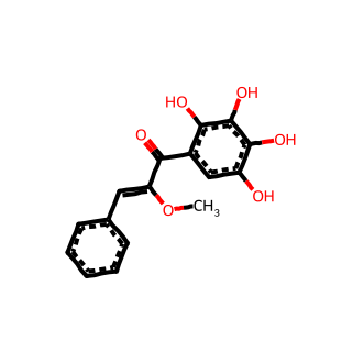 COC(=Cc1ccccc1)C(=O)c1cc(O)c(O)c(O)c1O